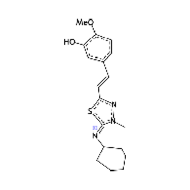 COc1ccc(C=Cc2nn(C)/c(=N\C3CCCCC3)s2)cc1O